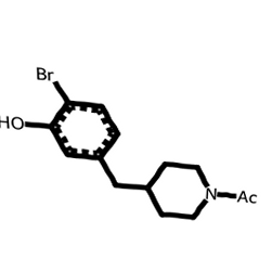 CC(=O)N1CCC(Cc2ccc(Br)c(O)c2)CC1